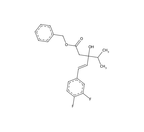 CC(C)C(O)(C=Cc1ccc(F)c(F)c1)CC(=O)OCc1ccccc1